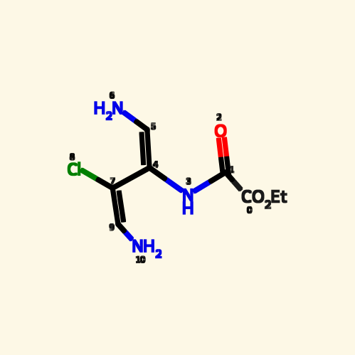 CCOC(=O)C(=O)NC(=C/N)/C(Cl)=C\N